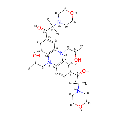 CC(O)CN1c2ccc(C(=O)C(C)(C)N3CCOCC3)cc2N(CC(C)O)c2cc(C(=O)C(C)(C)N3CCOCC3)ccc21